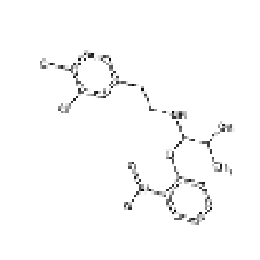 CC(O)C(NCCc1ccc(Cl)c(Cl)c1)Oc1ccccc1[N+](=O)[O-]